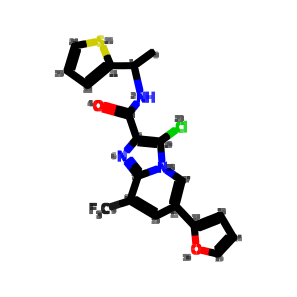 CC(NC(=O)c1nc2c(C(F)(F)F)cc(-c3ccco3)cn2c1Cl)c1cccs1